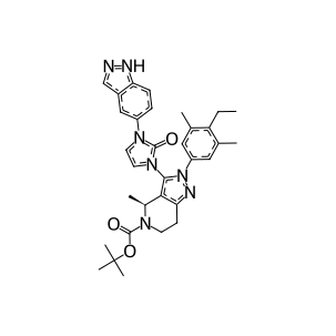 CCc1c(C)cc(-n2nc3c(c2-n2ccn(-c4ccc5[nH]ncc5c4)c2=O)[C@H](C)N(C(=O)OC(C)(C)C)CC3)cc1C